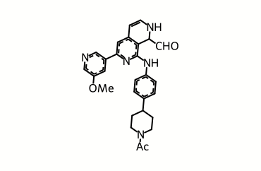 COc1cncc(-c2cc3c(c(Nc4ccc(C5CCN(C(C)=O)CC5)cc4)n2)C(C=O)NC=C3)c1